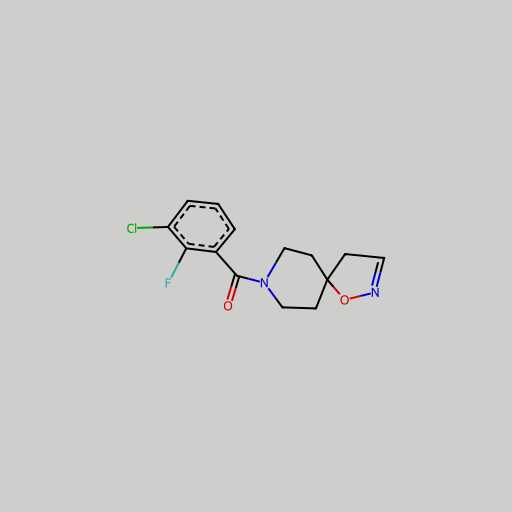 O=C(c1cccc(Cl)c1F)N1CCC2(CC=NO2)CC1